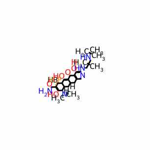 B=C1C(C(N)=O)=C(O)[C@@H](N(C)C)[C@@H]2C[C@@H]3Cc4cnc(NCC(C)(C)CNC(C)(C)C)c(O)c4C(=O)C3=C(O)[C@]12P